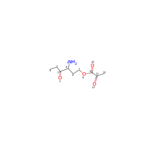 CCC(=O)C(N)CCOC(=O)C(C)=O